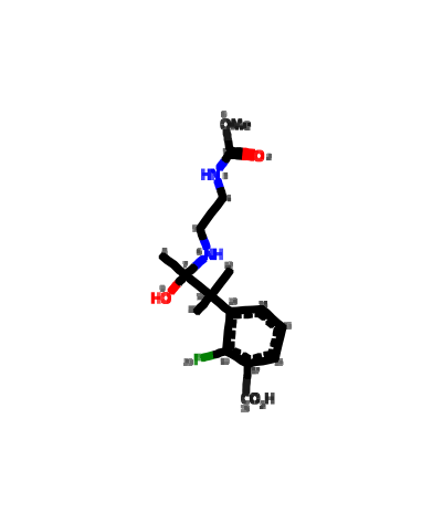 COC(=O)NCCNC(C)(O)C(C)(C)c1cccc(C(=O)O)c1F